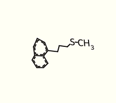 CSCCCc1cccc2ccccc12